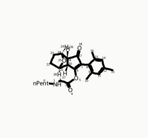 CCCCCNCC(=O)OC1=C(c2c(C)cc(C)cc2C)C(=O)[C@@H]2[C@H]1[C@H]1CC[C@@H]2O1